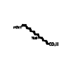 CCCCCCCC/C=C\CCCCCCCCCCCC(=O)O.[NaH]